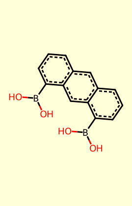 OB(O)c1cccc2cc3cccc(B(O)O)c3cc12